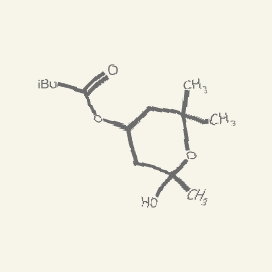 CCC(C)C(=O)OC1CC(C)(C)OC(C)(O)C1